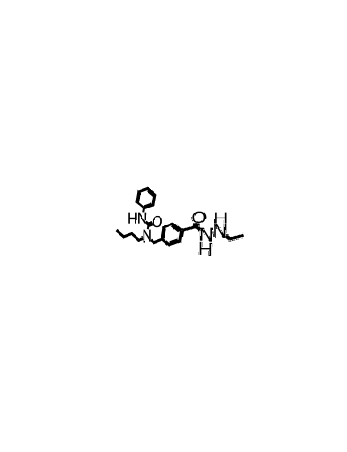 CCCCN(Cc1ccc(C(=O)NNCC)cc1)C(=O)Nc1ccccc1